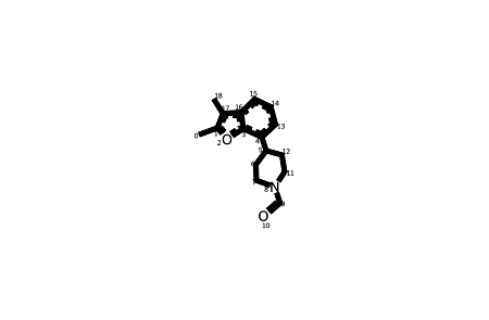 Cc1oc2c(C3CCN(C=O)CC3)cccc2c1C